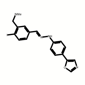 CNCc1cc(C=NNc2ccc(-c3cnco3)cc2)ccc1I